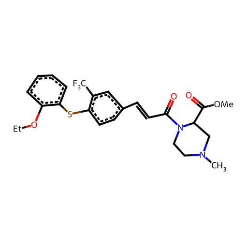 CCOc1ccccc1Sc1ccc(C=CC(=O)N2CCN(C)CC2C(=O)OC)cc1C(F)(F)F